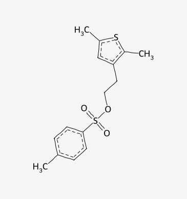 Cc1ccc(S(=O)(=O)OCCc2cc(C)sc2C)cc1